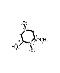 CCN1C[C@H](C)N(CC)[C@@H](C)C1